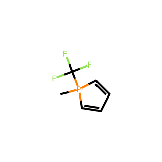 C[P]1(C(F)(F)F)C=CC=C1